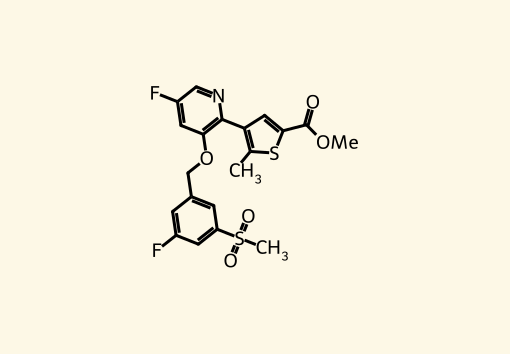 COC(=O)c1cc(-c2ncc(F)cc2OCc2cc(F)cc(S(C)(=O)=O)c2)c(C)s1